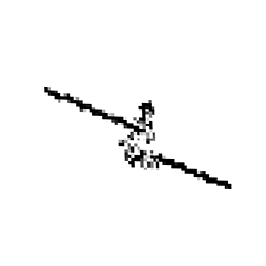 CCCCCCCCCCCCCCCCc1nc(N2CCC2)nc(OC)c1OCN(C)c1nc(C)c(O)c(OCCCCCCCCCCCCCCC)n1